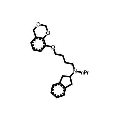 CCCN(CCCCOc1cccc2c1OCOC2)C1Cc2ccccc2C1